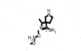 CC(N)C1(C(C)N)CCNC1.CO[SiH2]OC